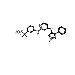 Cn1cc(Oc2ccnc(Nc3cccc(C(C)(C)C(=O)O)c3)c2)c(-c2ccccc2)n1